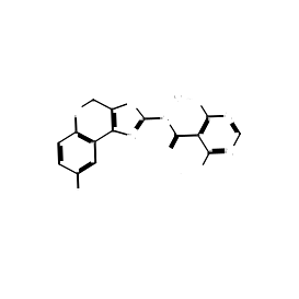 COc1ncnc(OC)c1C(=O)Nc1nc2c(s1)COc1ccc(C)cc1-2